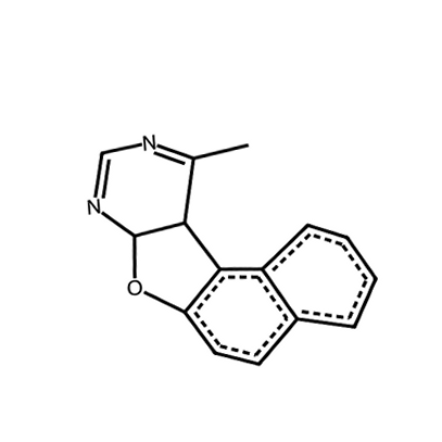 CC1=NC=NC2Oc3ccc4ccccc4c3C12